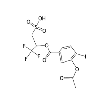 CC(=O)Oc1cc(C(=O)OC(CS(=O)(=O)O)C(F)(F)F)ccc1I